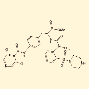 COC(=O)C(Cc1ccc(NC(=O)c2c(Cl)cncc2Cl)cc1)NC(=O)N(C)c1ccccc1S(=O)(=O)N1CCNCC1